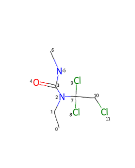 CCN(C(=O)[N]C)C(Cl)(Cl)CCl